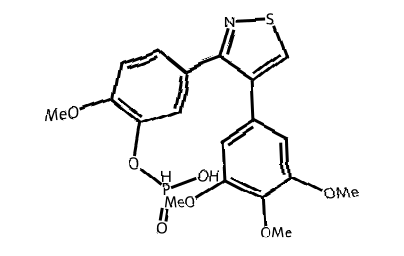 COc1ccc(-c2nscc2-c2cc(OC)c(OC)c(OC)c2)cc1O[PH](=O)O